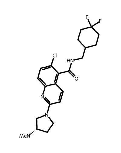 CN[C@H]1CCN(c2ccc3c(C(=O)NCC4CCC(F)(F)CC4)c(Cl)ccc3n2)C1